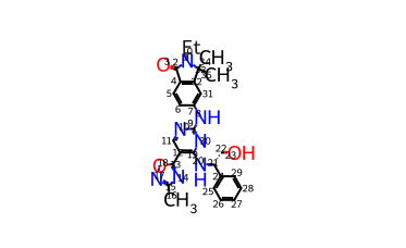 CCN1C(=O)c2ccc(Nc3ncc(-c4nc(C)no4)c(N[C@H](CO)c4ccccc4)n3)cc2C1(C)C